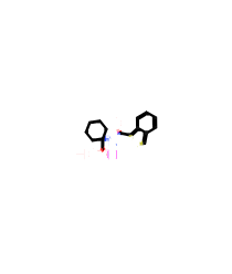 O=C(NC1(C(=O)O)CCCCC1)c1scc2ccccc12